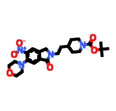 CC(C)(C)OC(=O)N1CCC(CCN2Cc3cc([N+](=O)[O-])c(N4CCOCC4)cc3C2=O)CC1